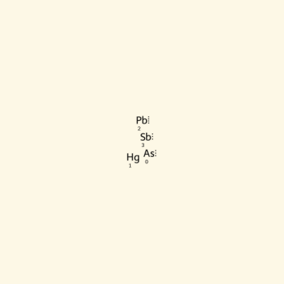 [As].[Hg].[Pb].[Sb]